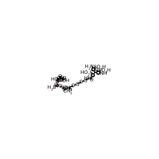 B[C@H]1CC(OCSSC(C)(C)CNC(=O)CCOCCOCCOCCOCCNC(=O)c2ccc(-c3c4ccc(=N)c(S(=O)(=O)O)c-4oc4c(S(=O)(=O)O)c(N)ccc34)c(C(=O)O)c2)[C@@H](COP(=O)(O)OP(=O)(O)OP(=O)(O)O)O1